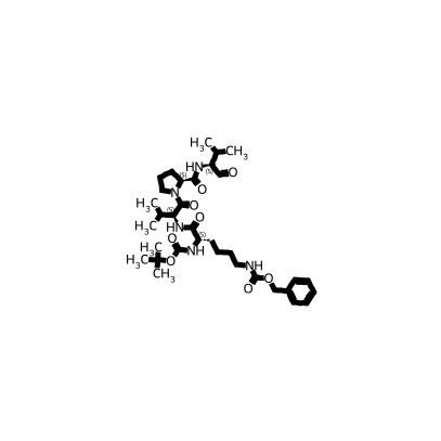 CC(C)[C@H](NC(=O)[C@H](CCCCNC(=O)OCc1ccccc1)NC(=O)OC(C)(C)C)C(=O)N1CCC[C@H]1C(=O)N[C@H](C=O)C(C)C